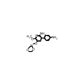 COc1nc(N)c(-c2ccc(N)cc2)cc1OC[C@H]1COCCO1